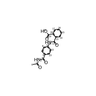 CC(=O)NC(=O)c1ccc(NC(=O)c2ccccc2C(=O)O)cc1